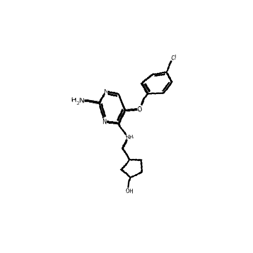 Nc1ncc(Oc2ccc(Cl)cc2)c(NCC2CCC(O)C2)n1